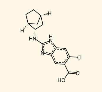 O=C(O)c1cc2nc(N[C@H]3C[C@@H]4CC[C@H]3C4)[nH]c2cc1Cl